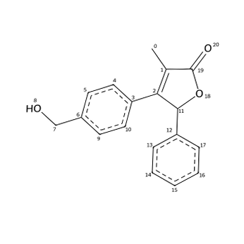 CC1=C(c2ccc(CO)cc2)C(c2ccccc2)OC1=O